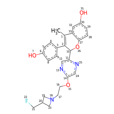 CC1=C(c2ccc(O)cc2)C(c2cnc(OCCN3CC(CF)C3)cn2)Oc2ccc(O)cc21